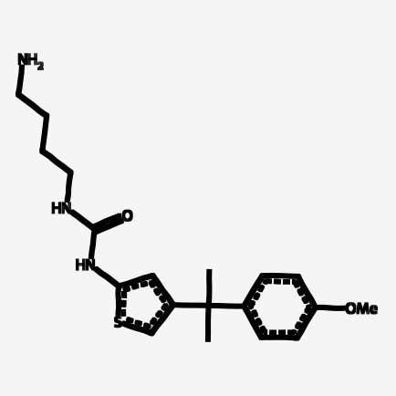 COc1ccc(C(C)(C)c2csc(NC(=O)NCCCCN)c2)cc1